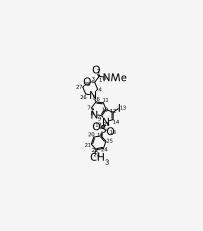 CNC(=O)C1CN(c2cnc3c(c2)c(I)cn3S(=O)(=O)c2ccc(C)cc2)CCO1